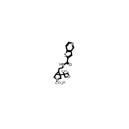 CC1(C23CN(C(=O)O)CC2C3CCNC(=O)c2cc3cnccc3s2)COC1